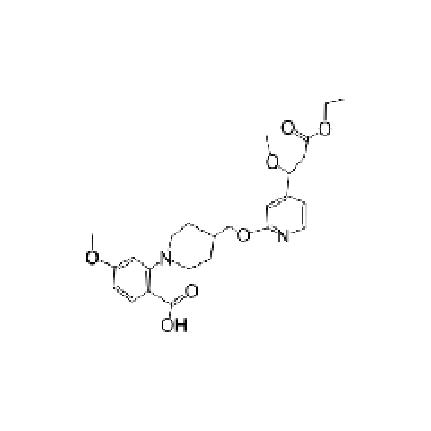 CCOC(=O)CC(OC)c1ccnc(OCC2CCN(c3cc(OC)ccc3C(=O)O)CC2)c1